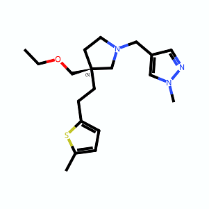 CCOC[C@@]1(CCc2ccc(C)s2)CCN(Cc2cnn(C)c2)C1